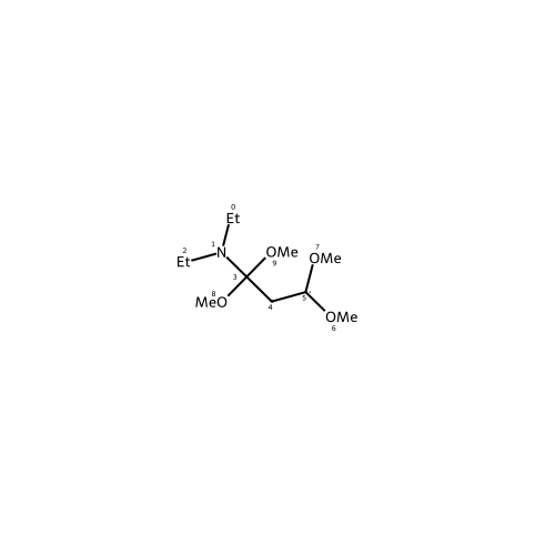 CCN(CC)C(C[C](OC)OC)(OC)OC